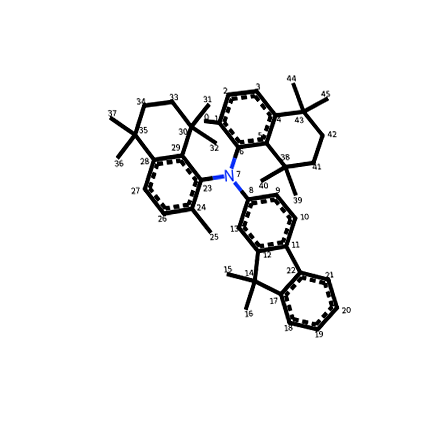 Cc1ccc2c(c1N(c1ccc3c(c1)C(C)(C)c1ccccc1-3)c1c(C)ccc3c1C(C)(C)CCC3(C)C)C(C)(C)CCC2(C)C